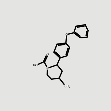 CC1CCN(C(=O)O)C(c2ccc(Oc3ccccc3)cc2)C1